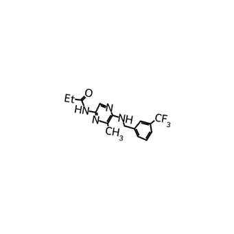 CCC(=O)Nc1cnc(NCc2cccc(C(F)(F)F)c2)c(C)n1